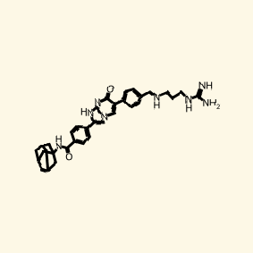 N=C(N)NCCCNCc1ccc(-c2cn3cc(-c4ccc(C(=O)NC56CC7CC(CC(C7)C5)C6)cc4)[nH]c3nc2=O)cc1